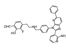 Nc1ncccc1-c1nc2ccc(-c3ccccc3)nc2n1-c1ccc(CNCCc2ccc(C=O)c(O)c2F)cc1